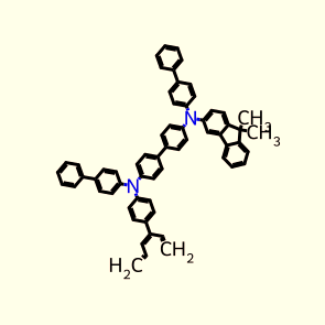 C=C/C=C(\C=C)c1ccc(N(c2ccc(-c3ccccc3)cc2)c2ccc(-c3ccc(N(c4ccc(-c5ccccc5)cc4)c4ccc5c(c4)-c4ccccc4C5(C)C)cc3)cc2)cc1